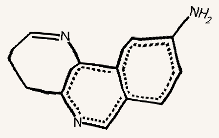 Nc1ccc2cnc3c(c2c1)N=CCC3